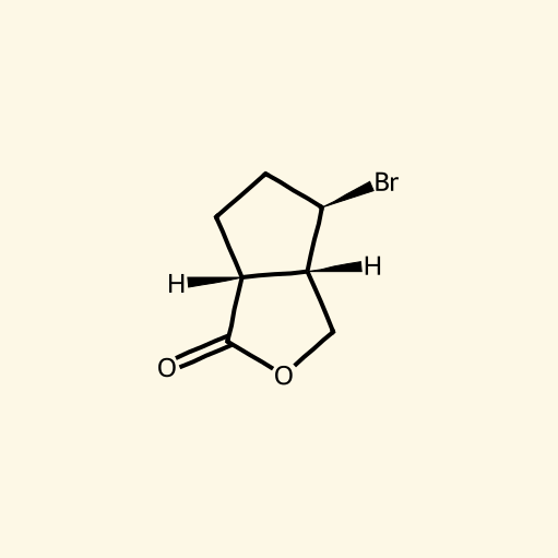 O=C1OC[C@H]2[C@H](Br)CC[C@@H]12